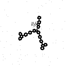 CC1(C)c2cc(-c3ccccc3)ccc2-c2ccc(-n3c4ccc(-c5ccc(-c6ccc(-c7cc8ccccc8c8ccccc78)cc6)cc5)cc4c4cc(-c5ccc(-c6ccc(-c7cc8ccccc8c8ccccc78)cc6)cc5)ccc43)cc21